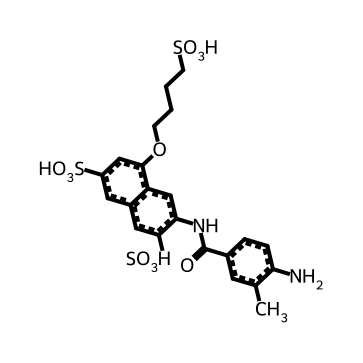 Cc1cc(C(=O)Nc2cc3c(OCCCCS(=O)(=O)O)cc(S(=O)(=O)O)cc3cc2S(=O)(=O)O)ccc1N